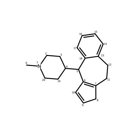 CN1CCC(C2C3=C(CC=C3)CCc3ccccc32)CC1